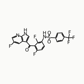 O=C(c1c(F)ccc(NS(=O)(=O)c2ccc(C(F)(F)F)cc2)c1F)c1c[nH]c2ncc(F)cc12